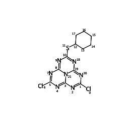 ClC1=NC2=NC(Cl)=NC3=NC(SC4CCCCC4)=NC(=N1)N23